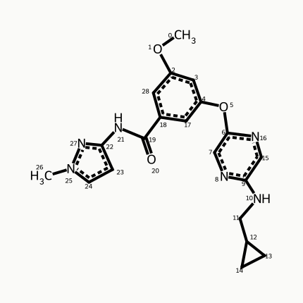 COc1cc(Oc2cnc(NCC3CC3)cn2)cc(C(=O)Nc2ccn(C)n2)c1